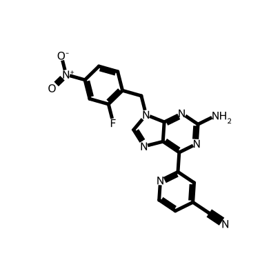 N#Cc1ccnc(-c2nc(N)nc3c2ncn3Cc2ccc([N+](=O)[O-])cc2F)c1